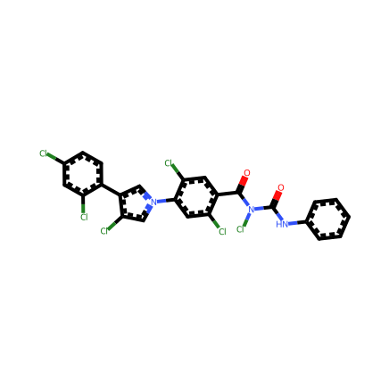 O=C(Nc1ccccc1)N(Cl)C(=O)c1cc(Cl)c(-n2cc(Cl)c(-c3ccc(Cl)cc3Cl)c2)cc1Cl